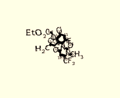 C=C(C)Cc1c(OCC(=O)OCC)c(Cl)cc(F)c1-n1c(=O)cc(C(F)(F)F)n(C)c1=O